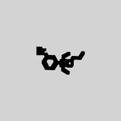 CCCO[Si](CC)(CC)c1cccc(Br)c1